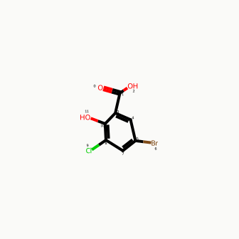 O=C(O)c1cc(Br)cc(Cl)c1O